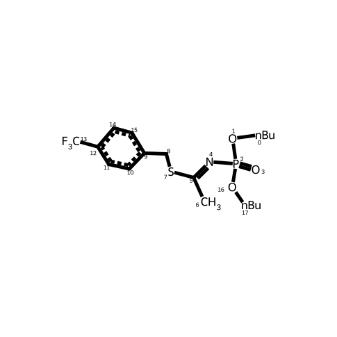 CCCCOP(=O)(N=C(C)SCc1ccc(C(F)(F)F)cc1)OCCCC